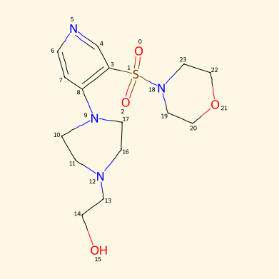 O=S(=O)(c1cnccc1N1CCN(CCO)CC1)N1CCOCC1